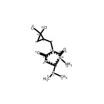 CN(C)c1nc(=O)n(CC2CC2(Cl)Cl)c(=O)n1N